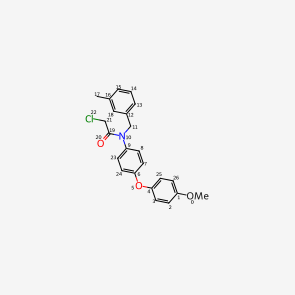 COc1ccc(Oc2ccc(N(Cc3cccc(C)c3)C(=O)CCl)cc2)cc1